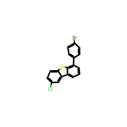 Clc1ccc2sc3c(-c4ccc(Br)cc4)cccc3c2c1